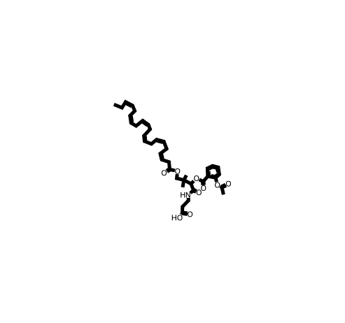 CC/C=C\C/C=C\C/C=C\C/C=C\C/C=C\C/C=C\CC(=O)OCC(C)(C)C(OC(=O)c1ccccc1OC(C)=O)C(=O)NCCC(=O)O